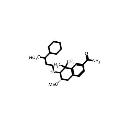 CO[C@H]1Cc2ccc(C(N)=O)cc2C(C)(C)[C@@H]1NCCC(C(=O)O)C1CCCCC1